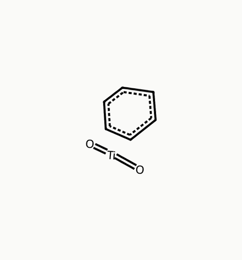 [O]=[Ti]=[O].c1ccccc1